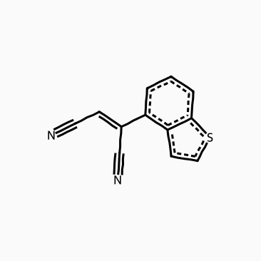 N#CC=C(C#N)c1cccc2sccc12